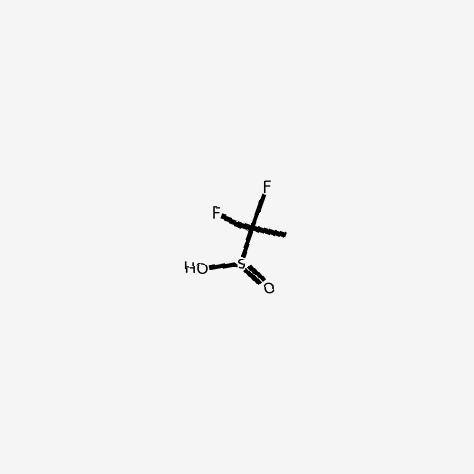 CC(F)(F)S(=O)O